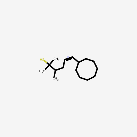 CC(C/C=C\C1CCCCCCC1)C(C)(C)S